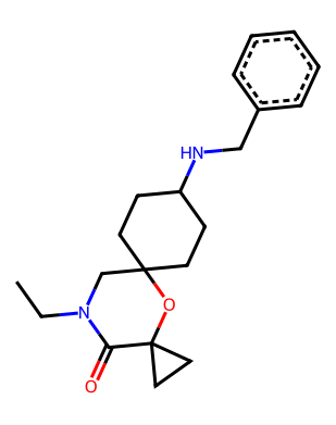 CCN1CC2(CCC(NCc3ccccc3)CC2)OC2(CC2)C1=O